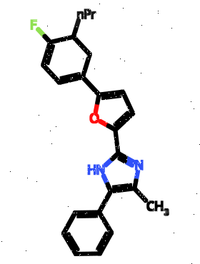 CCCC1CC(c2ccc(-c3nc(C)c(-c4ccccc4)[nH]3)o2)=CC=C1F